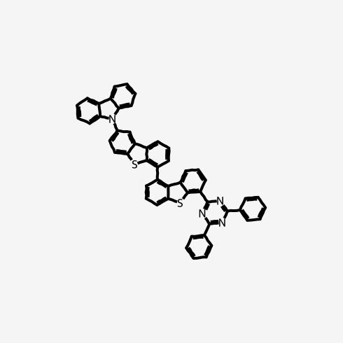 c1ccc(-c2nc(-c3ccccc3)nc(-c3cccc4c3sc3cccc(-c5cccc6c5sc5ccc(-n7c8ccccc8c8ccccc87)cc56)c34)n2)cc1